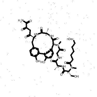 CCCCCCCCCCCCCCCC(=O)N(C)[C@H](CO)C(=O)N[C@H](C)C(=O)NCC(=O)N(C)[C@@H]1C(=O)N[C@@H](C)C(=O)N[C@H](C(=O)CC(=O)C(N)=O)Cc2ccc(O)c(c2)-c2cc1ccc2O